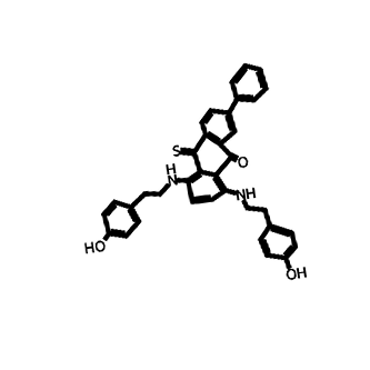 O=C1c2cc(-c3ccccc3)ccc2C(=S)c2c(NCCc3ccc(O)cc3)ccc(NCCc3ccc(O)cc3)c21